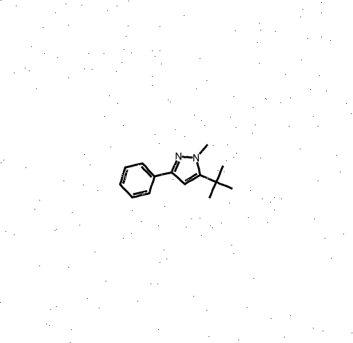 Cn1nc(-c2ccccc2)cc1C(C)(C)C